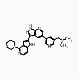 CN(C)Cc1cncc(-c2cnc3[nH]nc(-c4cc5c(N6CCCCC6)nccc5[nH]4)c3c2)c1